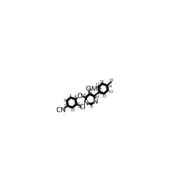 [C-]#[N+]c1ccc(Oc2ncnc(-c3ccc(C)cc3)c2OC)c(Cl)c1